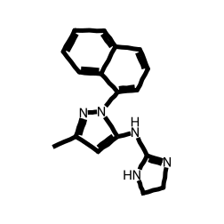 Cc1cc(NC2=NCCN2)n(-c2cccc3ccccc23)n1